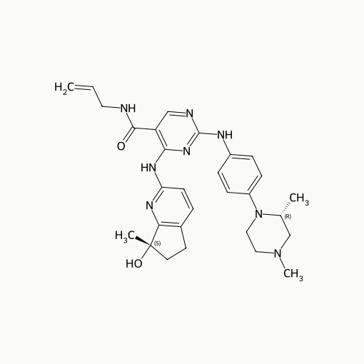 C=CCNC(=O)c1cnc(Nc2ccc(N3CCN(C)C[C@H]3C)cc2)nc1Nc1ccc2c(n1)[C@@](C)(O)CC2